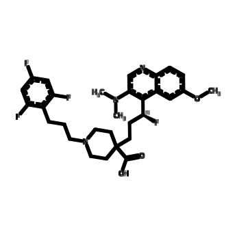 COc1ccc2ncc(N(C)C)c([C@@H](F)CCC3(C(=O)O)CCN(CCCc4c(F)cc(F)cc4F)CC3)c2c1